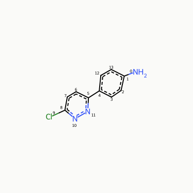 Nc1ccc(-c2ccc(Cl)nn2)cc1